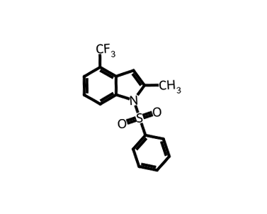 Cc1cc2c(C(F)(F)F)cccc2n1S(=O)(=O)c1ccccc1